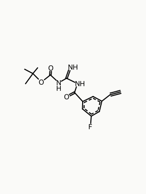 C#Cc1cc(F)cc(C(=O)NC(=N)NC(=O)OC(C)(C)C)c1